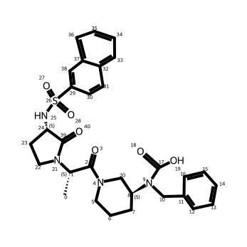 C[C@@H](C(=O)N1CCC[C@H](N(Cc2ccccc2)C(=O)O)C1)N1CC[C@H](NS(=O)(=O)c2ccc3ccccc3c2)C1=O